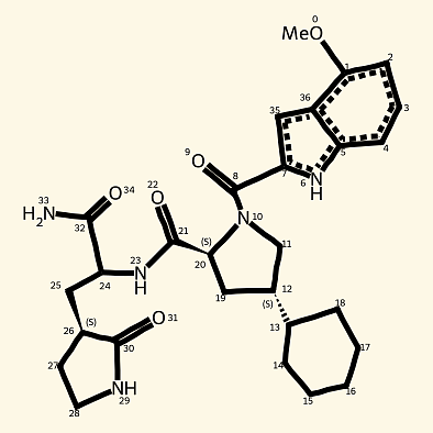 COc1cccc2[nH]c(C(=O)N3C[C@H](C4CCCCC4)C[C@H]3C(=O)NC(C[C@@H]3CCNC3=O)C(N)=O)cc12